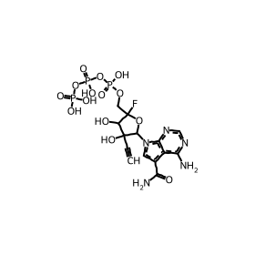 C#CC1(O)C(n2cc(C(N)=O)c3c(N)ncnc32)OC(F)(COP(=O)(O)OP(=O)(O)OP(=O)(O)O)C1O